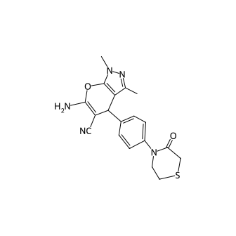 Cc1nn(C)c2c1C(c1ccc(N3CCSCC3=O)cc1)C(C#N)=C(N)O2